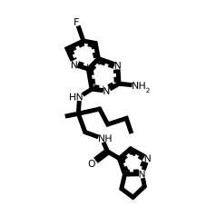 CCCCC(C)(CNC(=O)c1cnn2c1CCC2)Nc1nc(N)nc2cc(F)cnc12